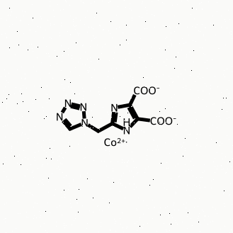 O=C([O-])c1nc(Cn2cnnn2)[nH]c1C(=O)[O-].[Co+2]